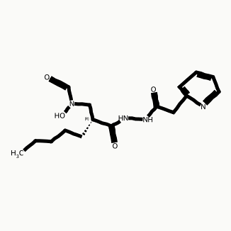 CCCCC[C@H](CN(O)C=O)C(=O)NNC(=O)Cc1ccccn1